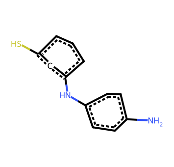 Nc1ccc(Nc2cccc(S)c2)cc1